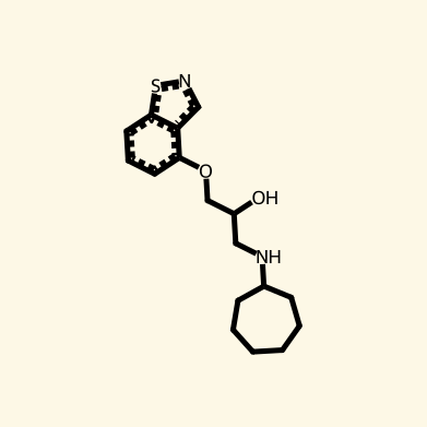 OC(CNC1CCCCCC1)COc1cccc2sncc12